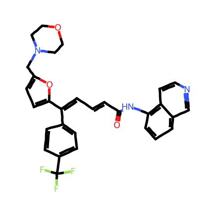 O=C(/C=C/C=C(\c1ccc(C(F)(F)F)cc1)c1ccc(CN2CCOCC2)o1)Nc1cccc2cnccc12